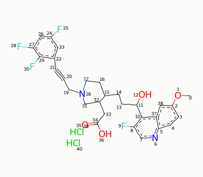 COc1ccc2ncc(F)c(C(O)CCC3CCN(CC#Cc4cc(F)cc(F)c4F)CC3CC(=O)O)c2c1.Cl.Cl